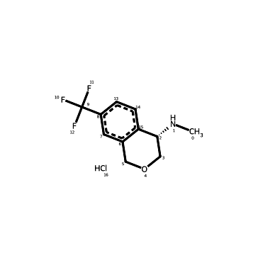 CN[C@@H]1COCc2cc(C(F)(F)F)ccc21.Cl